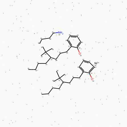 CCCCC(CCCc1ccccc1[O-])C(C)(C)C.CCCCC(CCCc1ccccc1[O-])C(C)(C)C.CCCCN.[Ni+2]